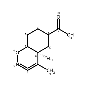 CC1=C=NOC2CCC(C(=O)O)C[C@@H]12